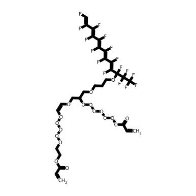 C=CC(=O)OCCOOOOO/C=C\OCC(COCCCOC(F)(/C(F)=C(F)/C(F)=C(F)/C(F)=C(F)/C(F)=C(F)/C(F)=C/F)C(F)(F)C(F)(F)F)OOOOOOOC(=O)C=C